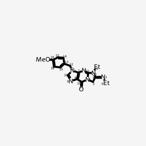 CC/N=C1\Cn2c(nc3c(ncn3Cc3ccc(OC)cc3)c2=O)N1CC